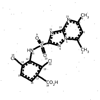 Cc1cc(C)n2nc(S(=O)(=O)Nc3c(Cl)ccc(C(=O)O)c3Cl)nc2n1